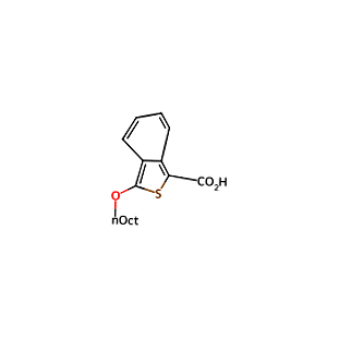 CCCCCCCCOc1sc(C(=O)O)c2ccccc12